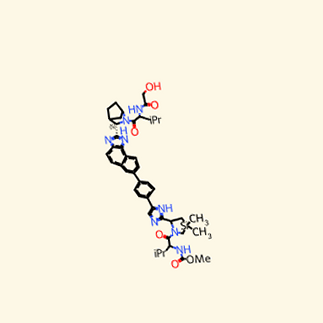 COC(=O)NC(C(=O)N1C[Si](C)(C)CC1c1ncc(-c2ccc(-c3ccc4c(ccc5nc([C@@H]6C7CCC(C7)N6C(=O)C(NC(=O)CO)C(C)C)[nH]c54)c3)cc2)[nH]1)C(C)C